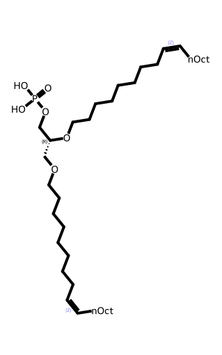 CCCCCCCC/C=C\CCCCCCCCOC[C@H](COP(=O)(O)O)OCCCCCCCC/C=C\CCCCCCCC